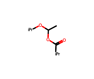 CC(C)OC(C)OC(=O)C(C)C